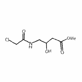 COC(=O)CC(O)CNC(=O)CCl